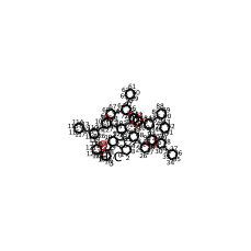 Cc1cccc2c1-c1c(ccc3oc4ccccc4c13)C2(c1cc(-c2cccc(-c3cc(-c4ccccc4)cc(-c4ccccc4)c3)c2)cc(-c2cccc(-c3cc(-c4ccccc4)cc(-c4ccccc4)c3)c2)c1)c1cc(-c2cccc(-c3cc(-c4ccccc4)cc(-c4ccccc4)c3)c2)cc(-c2cccc(-c3cc(-c4ccccc4)cc(-c4ccccc4)c3)c2)c1